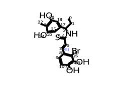 CCC(NC(=S)/C=C/c1ccc(O)c(O)c1Br)c1cc(O)c(C)c(O)c1